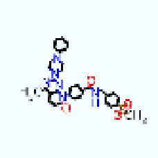 Cc1nc(N2CCN(c3ccccc3)CC2)nc2c1ccc(=O)n2-c1ccc(C(=O)NCc2ccc(S(C)(=O)=O)cc2)cc1